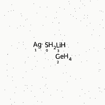 S.[Ag].[GeH4].[LiH]